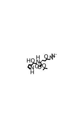 CC(C)OC(=O)[C@H](CCC(=O)C=[N+]=[N-])NC(=O)[C@@H](O)c1ccc[nH]1